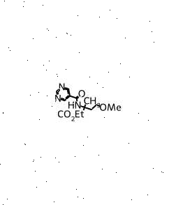 CCOC(=O)C(C)(CCOC)NC(=O)c1cncnc1